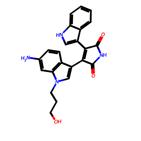 Nc1ccc2c(C3=C(c4c[nH]c5ccccc45)C(=O)NC3=O)cn(CCCO)c2c1